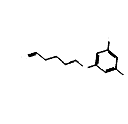 C=CCCCCOc1cc(F)cc(F)c1